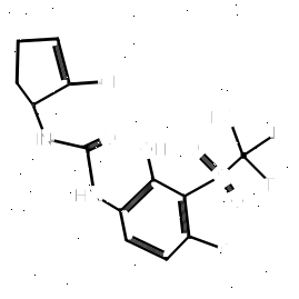 CC1=CCCC1NC(=O)Nc1ccc(Cl)c(S(=O)(=O)C(C)(F)F)c1O